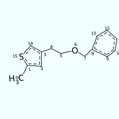 Cc1cc(CCOCc2ccccc2)cs1